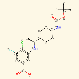 C[C@H](Nc1cc(C(=O)O)cc(F)c1Cl)C1CCC(NC(=O)OC(C)(C)C)CC1